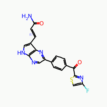 NC(=O)/C=C/c1c[nH]c2ncc(-c3ccc(C(=O)c4nc(F)cs4)cc3)nc12